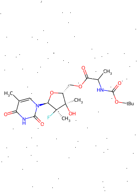 Cc1cn([C@H]2O[C@H](COC(=O)C(C)NC(=O)OC(C)(C)C)[C@@](C)(O)[C@@]2(C)F)c(=O)[nH]c1=O